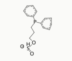 O=[SH](=O)OCCCP(c1ccccc1)c1ccccc1